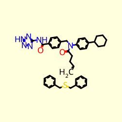 C=CCCC(=O)N(Cc1ccc(C(=O)Nc2nn[nH]n2)cc1)c1ccc(C2CCCCC2)cc1.c1ccc(CSCc2ccccc2)cc1